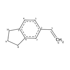 C=Cc1ccc2c(c1)CCC2